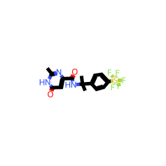 Cc1nc(C(=O)NC(C)(C)c2ccc(S(F)(F)(F)(F)F)cc2)cc(=O)[nH]1